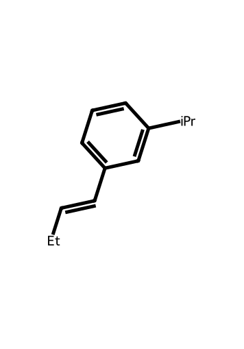 CCC=Cc1cccc(C(C)C)c1